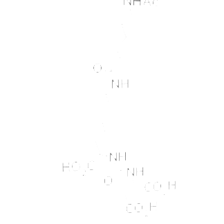 CC(=O)NCCCCCC(=O)NCCC/C=C/C(NC(=O)N[C@@H](CC(=O)O)C(=O)O)C(=O)O